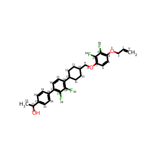 C=CCOc1ccc(OCC2CCC(c3ccc(-c4ccc(C(C)O)cc4)c(F)c3F)CC2)c(F)c1F